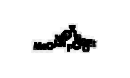 CCC(=O)Oc1ccc(F)cc1OCCC1(C2CCN(c3ncc(COC)cn3)CC2)CC1